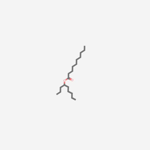 CCCCCCCCCC(=O)OC(CCC)CCCCC